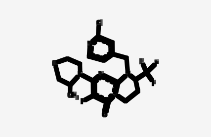 CC1COCCN1c1nc2n(c(=O)c1F)CCC(C(F)(F)F)N2Cc1ccnc(Cl)c1